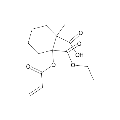 C=CC(=O)OC1(C(=O)OCC)CCCCC1(C)C(=O)O